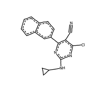 N#Cc1c(Cl)nc(NC2CC2)nc1-c1ccc2ccccc2c1